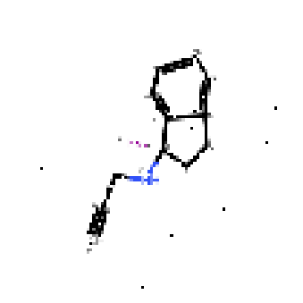 C#CCN[C@]1(I)CCc2ccccc21